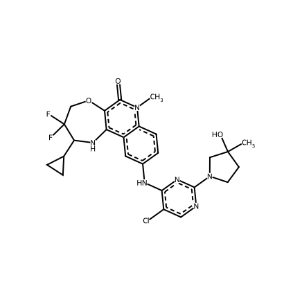 Cn1c(=O)c2c(c3cc(Nc4nc(N5CCC(C)(O)C5)ncc4Cl)ccc31)NC(C1CC1)C(F)(F)CO2